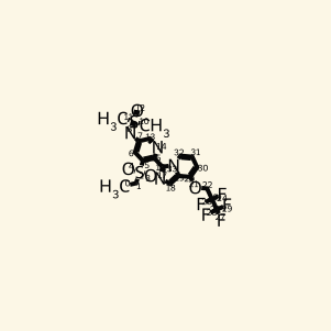 CCS(=O)(=O)c1cc(N=S(C)(C)=O)cnc1-c1ncc2c(OCC(F)(F)C(F)(F)F)cccn12